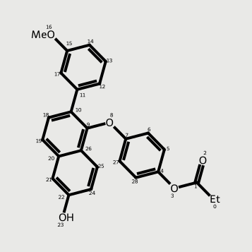 CCC(=O)Oc1ccc(Oc2c(-c3cccc(OC)c3)ccc3cc(O)ccc23)cc1